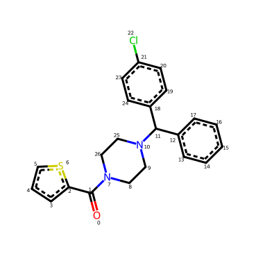 O=C(c1cccs1)N1CCN(C(c2ccccc2)c2ccc(Cl)cc2)CC1